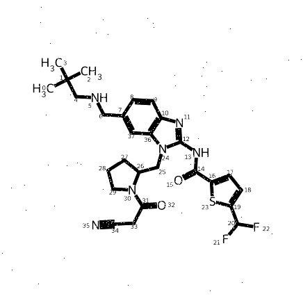 CC(C)(C)CNCc1ccc2nc(NC(=O)c3ccc(C(F)F)s3)n(CC3CCCN3C(=O)CC#N)c2c1